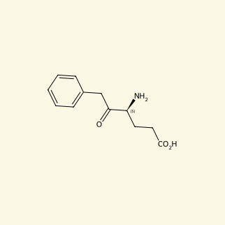 N[C@@H](CCC(=O)O)C(=O)Cc1ccccc1